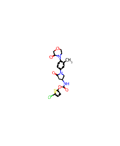 Cc1cc(N2CC(NC(=O)Oc3ccc(Cl)s3)CC2=O)ccc1N1CCOCC1=O